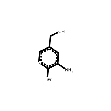 CC(C)c1ncc(CO)cc1N